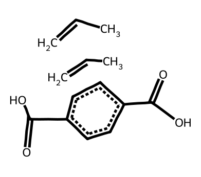 C=CC.C=CC.O=C(O)c1ccc(C(=O)O)cc1